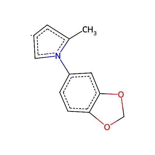 Cc1c[c]cn1-c1ccc2c(c1)OCO2